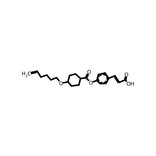 C=CCCCCOC1CCC(C(=O)Oc2ccc(C=CC(=O)O)cc2)CC1